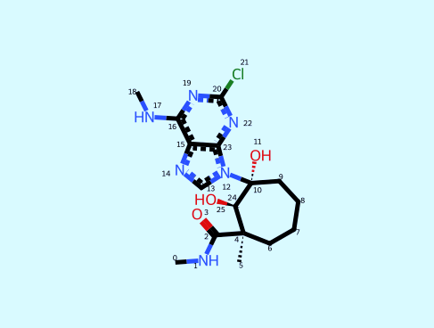 CNC(=O)[C@]1(C)CCCC[C@](O)(n2cnc3c(NC)nc(Cl)nc32)[C@@H]1O